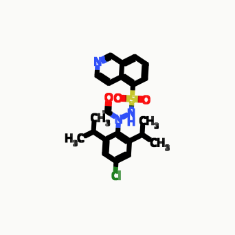 CC(C)c1cc(Cl)cc(C(C)C)c1N([C]=O)NS(=O)(=O)c1cccc2cnccc12